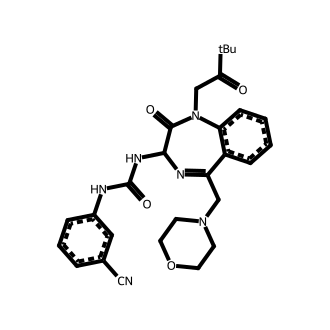 CC(C)(C)C(=O)CN1C(=O)C(NC(=O)Nc2cccc(C#N)c2)N=C(CN2CCOCC2)c2ccccc21